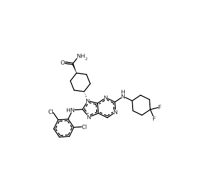 NC(=O)[C@H]1CC[C@H](n2c(Nc3c(Cl)cccc3Cl)nc3cnc(NC4CCC(F)(F)CC4)nc32)CC1